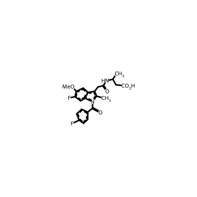 COc1cc2c(CC(=O)NC(C)CC(=O)O)c(C)n(C(=O)c3ccc(F)cc3)c2cc1F